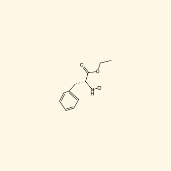 CCOC(=O)[C@@H](Cc1ccccc1)NCl